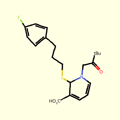 CC(C)(C)C(=O)CN1C=CC=C(C(=O)O)C1SCCCc1ccc(F)cc1